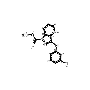 CC(C)(C)OC(=O)n1nc(Nc2cccc(Cl)c2)c2ncccc21